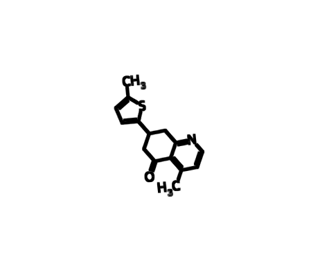 Cc1ccc(C2CC(=O)c3c(C)ccnc3C2)s1